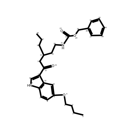 CCCCOc1ccc2[nH]cc(C(=O)CC(CCC)CCNC(=O)OCc3ccccc3)c2c1